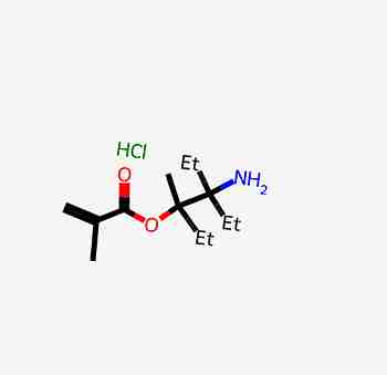 C=C(C)C(=O)OC(C)(CC)C(N)(CC)CC.Cl